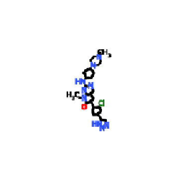 CCn1c(=O)c(-c2ccc(-c3cnn[nH]3)cc2Cl)cc2cnc(Nc3ccc(N4CCN(C)CC4)cc3)nc21